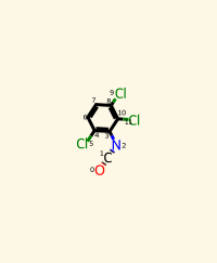 O=C=Nc1c(Cl)ccc(Cl)c1Cl